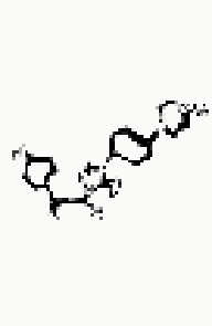 CCC(C(=O)c1ccc(Br)cc1)n1ncn(-c2ccc(N3CCNCC3)cc2)c1=O